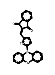 O=C1C(=Cc2ccc(N3c4ccccc4[Te]c4ccccc43)[te]2)C(=O)c2ccccc21